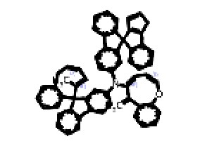 C=C1/C(N(c2ccc3c(c2)C2(C4=C(CC=C4)c4ccccc42)c2ccccc2-3)c2ccc3c(c2)C2(/C(C)=C/C=C\Cc4ccccc42)c2ccccc2-3)=C\C=C/Oc2ccccc21